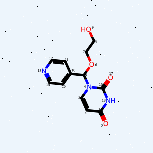 O=c1ccn(C(OCCO)c2ccncc2)c(=O)[nH]1